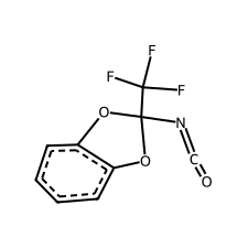 O=C=NC1(C(F)(F)F)Oc2ccccc2O1